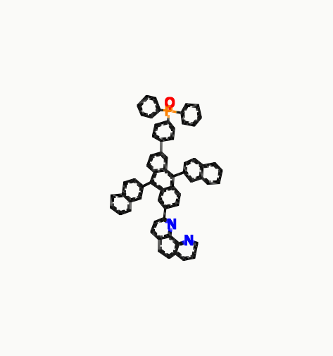 O=P(c1ccccc1)(c1ccccc1)c1ccc(-c2ccc3c(-c4ccc5ccccc5c4)c4cc(-c5ccc6ccc7cccnc7c6n5)ccc4c(-c4ccc5ccccc5c4)c3c2)cc1